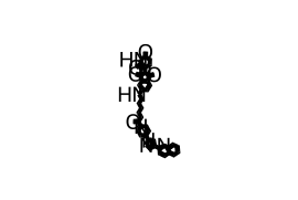 O=C1CCC(N2C(=O)c3ccc(NCCCCCC(=O)N4CCC(n5cc(-c6ccc7ccccc7n6)cn5)CC4)cc3C2=O)C(=O)N1